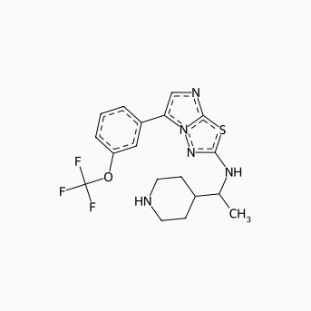 CC(Nc1nn2c(-c3cccc(OC(F)(F)F)c3)cnc2s1)C1CCNCC1